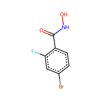 O=C(NO)c1ccc(Br)cc1F